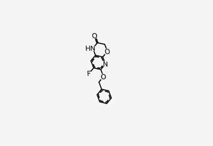 O=C1COc2nc(OCc3ccccc3)c(F)cc2N1